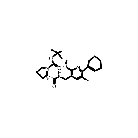 COc1nc(C2=CCCCC2)c(F)cc1CNC(=O)[C@@H]1CCCN1C(=O)OC(C)(C)C